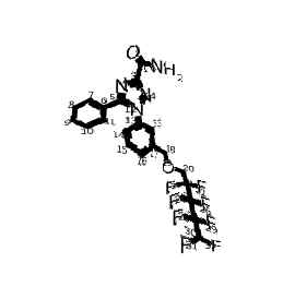 NC(=O)c1nc(C2=CCCC=C2)n(-c2cccc(COCC(F)(F)C(F)(F)C(F)(F)C(F)F)c2)n1